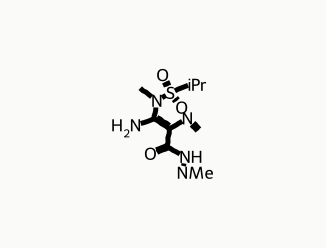 C=N/C(C(=O)NNC)=C(/N)N(C)S(=O)(=O)C(C)C